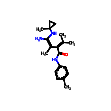 CC(C)=C(C(=O)Nc1ccc(C)cc1)/C(C)=C(/N)NC1(C)CC1